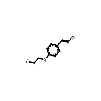 N#CC=Cc1ccc(OCCBr)cc1